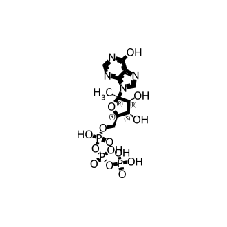 C[C@@]1(n2cnc3c(O)ncnc32)O[C@H](COP(=O)(O)OP(=O)(O)OP(=O)(O)O)[C@@H](O)[C@H]1O